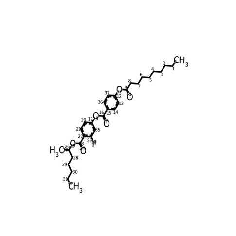 CCCCCCCCCC(=O)Oc1ccc(C(=O)Oc2ccc(C(=O)OC(C)CCCCC)c(F)c2)cc1